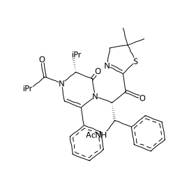 CC(=O)NC(c1ccccc1)[C@@H](C(=O)C1=NCC(C)(C)S1)N1C(=O)[C@@H](C(C)C)N(C(=O)C(C)C)C=C1c1ccccc1